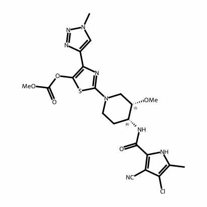 COC(=O)Oc1sc(N2CC[C@@H](NC(=O)c3[nH]c(C)c(Cl)c3C#N)[C@@H](OC)C2)nc1-c1cn(C)nn1